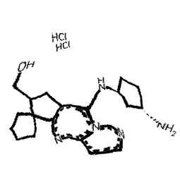 Cl.Cl.N[C@H]1CC[C@H](Nc2c3c(nc4ccnn24)C2(CCCC2)C(CO)C3)C1